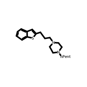 CCCCCN1CCN(CCCc2cc3ccccc3s2)CC1